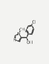 Cn1cncc1C(O)c1ccc(Cl)cc1